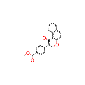 COC(=O)c1ccc(-c2coc3ccc4ccccc4c3c2=O)cc1